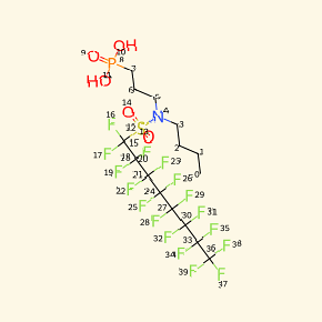 CCCCN(CCCP(=O)(O)O)S(=O)(=O)C(F)(F)C(F)(F)C(F)(F)C(F)(F)C(F)(F)C(F)(F)C(F)(F)C(F)(F)F